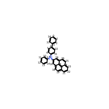 c1ccc(-c2ccc(N(c3ccccc3)c3cc4ccc5cccc6ccc(c3)c4c56)cc2)cc1